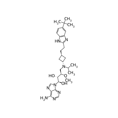 CO[C@H](CN(C(C)C)[C@H]1C[C@H](CCc2nc3cc(C(C)(C)C)ccc3[nH]2)C1)[C@@H](O)[C@@H](O)n1cnc2c(N)ncnc21